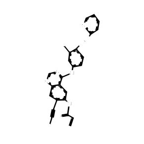 C=CC(=O)Nc1cc2c(Nc3ccc(OCc4ccccn4)c(Cl)c3)ncnc2cc1C#C[C](C)C